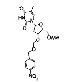 COC[C@H]1O[C@@H](n2cc(C)c(=O)[nH]c2=O)CC1OCOCc1ccc([N+](=O)[O-])cc1